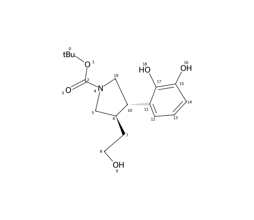 CC(C)(C)OC(=O)N1C[C@H](CCO)[C@@H](c2cccc(O)c2O)C1